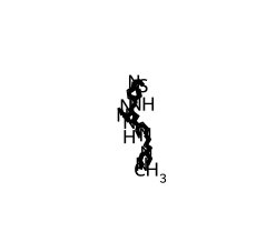 CN1CCN(CCCN2CC=C(c3cc4c(Nc5ccc6ncsc6c5)ncnc4[nH]3)CC2)CC1